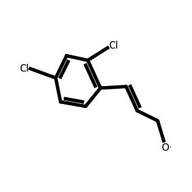 [O]CC=Cc1ccc(Cl)cc1Cl